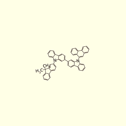 CC1(C)c2ccccc2-c2ccc(-n3c4ccccc4c4ccc(-c5ccc6c7ccccc7n(-c7cc8ccccc8c8ccccc78)c6c5)cc43)cc21